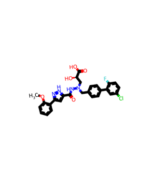 COc1ccccc1-c1cc(C(=O)NN(Cc2ccc(-c3cc(Cl)ccc3F)cc2)C[C@@H](O)C(=O)O)[nH]n1